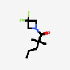 CCCC(C)(C)C(=O)N1CC(F)(F)C1